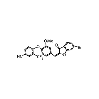 COc1cc(C=C2Oc3cc(Br)ccc3C2=O)ccc1Oc1ccc(C#N)cc1C(F)(F)F